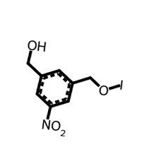 O=[N+]([O-])c1cc(CO)cc(COI)c1